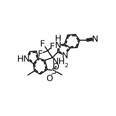 Cc1cc(S(C)(=O)=O)c(C(N)(c2nc3cc(C#N)ccc3[nH]2)C(F)(F)F)c2cc[nH]c12